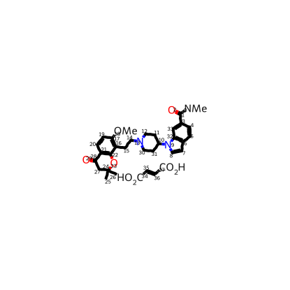 CNC(=O)c1ccc2ccn(C3CCN(CCc4c(OC)ccc5c4OC(C)(C)CC5=O)CC3)c2c1.O=C(O)C=CC(=O)O